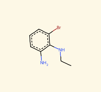 CCNc1c(N)cccc1Br